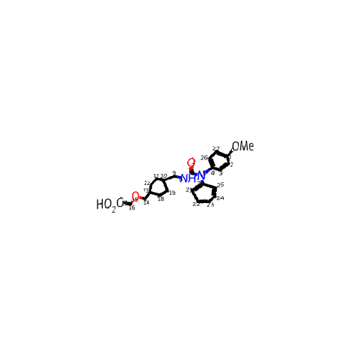 COc1ccc(N(C(=O)NCC2CCC(COCC(=O)O)CC2)c2ccccc2)cc1